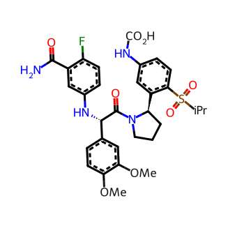 COc1ccc([C@H](Nc2ccc(F)c(C(N)=O)c2)C(=O)N2CCC[C@@H]2c2cc(NC(=O)O)ccc2S(=O)(=O)C(C)C)cc1OC